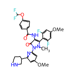 COc1cc(C2CCCNC2)nc(-n2c(=O)c(NC(=O)c3ccc(OC(F)F)cc3)c(-c3c(F)cc(OC)cc3F)n2C)c1